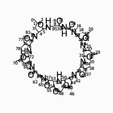 CC(C)CC1C(=O)N[C@H](C)C(=O)NC(=O)N(C)[C@H](CC(C)C)C(=O)N(C)C(CC(C)C)C(=O)N(C)C(C(C)C)C(=O)N(C)C(C[C@H](C)CC=O)C(=O)NC(C(C)C)C(=O)N(C)[C@H](C)C(=O)N(C)[C@@H](CC(C)C)C(=O)NC(C(C)C)C(=O)N1C